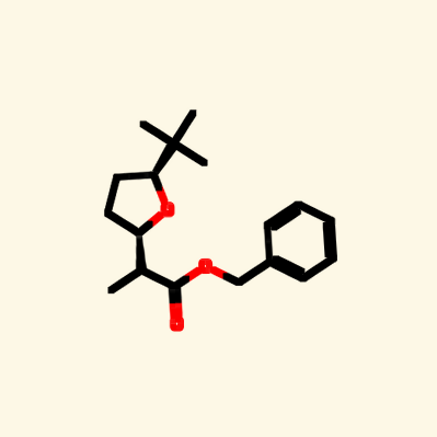 CC(C(=O)OCc1ccccc1)[C@H]1CC[C@@H](C(C)(C)C)O1